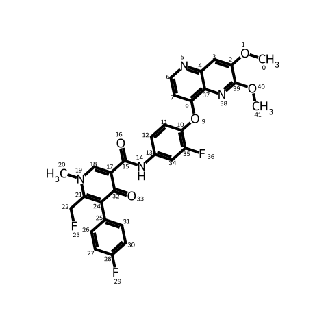 COc1cc2nccc(Oc3ccc(NC(=O)c4cn(C)c(CF)c(-c5ccc(F)cc5)c4=O)cc3F)c2nc1OC